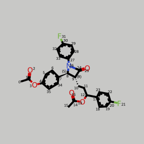 CC(=O)Oc1ccc([C@@H]2[C@@H](CCC(OC(C)=O)c3ccc(F)cc3)C(=O)N2c2ccc(F)cc2)cc1